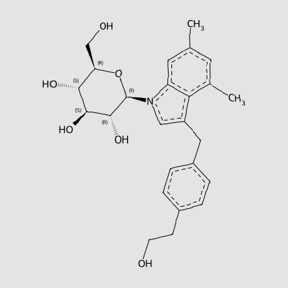 Cc1cc(C)c2c(Cc3ccc(CCO)cc3)cn([C@@H]3O[C@H](CO)[C@@H](O)[C@H](O)[C@H]3O)c2c1